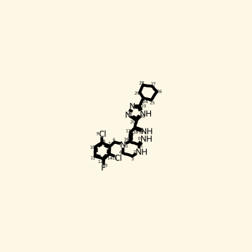 N=C1NCCN(Cc2c(Cl)ccc(F)c2Cl)/C1=C/C(=N)c1nnc(C2CCCCC2)[nH]1